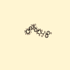 COC(=O)CC(C)c1ccc(OCC2(COc3ccccc3)CC2)cc1